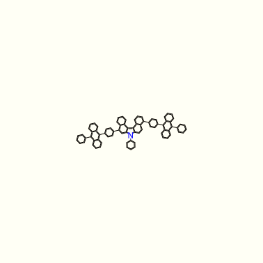 c1ccc(-c2c3ccccc3c(-c3ccc(-c4cccc5c4ccc4c5c5c6ccccc6c(-c6ccc(-c7c8ccccc8c(-c8ccccc8)c8ccccc78)cc6)cc5n4-c4ccccc4)cc3)c3ccccc23)cc1